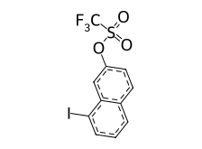 O=S(=O)(Oc1ccc2cccc(I)c2c1)C(F)(F)F